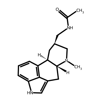 CC(=O)NC[C@@H]1C[C@@H]2c3cccc4[nH]cc(c34)C[C@H]2N(C)C1